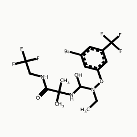 CCN(Oc1cc(Br)cc(C(F)(F)F)c1)C(O)NC(C)(C)C(=O)NCC(F)(F)F